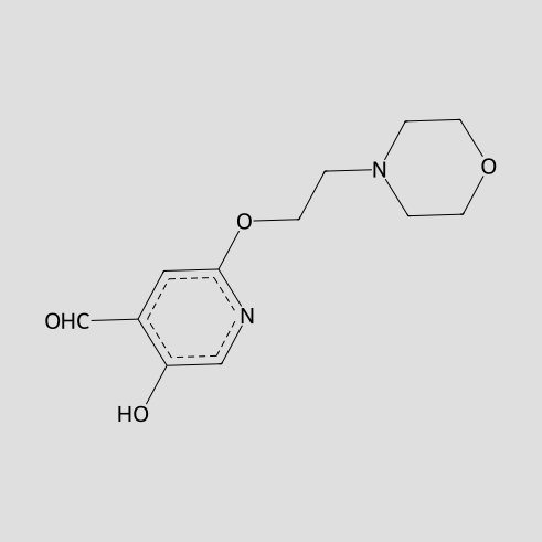 O=Cc1cc(OCCN2CCOCC2)ncc1O